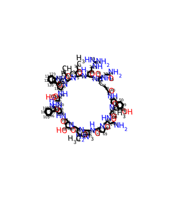 CCCCC1C(=O)N(C)C(CCCC)C(=O)NC(CCCNC(=N)N)C(=O)NC(C(=O)NCC(N)=O)C/C=C/C(=O)NC(Cc2ccc(O)cc2)C(=O)N(C)C(C)C(=O)NC(CC(N)=O)C(=O)N2CCCC2C(=O)NC(CN)C(=O)NC(CC(C)C)C(=O)N2C[C@H](O)CC2C(=O)NC(Cc2c[nH]c3ccccc23)C(=O)NC(CO)C(=O)NC(Cc2c[nH]c3ccccc23)C(=O)N1C